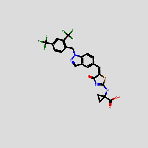 O=C1N=C(NC2(C(=O)O)CC2)SC1=Cc1ccc2c(cnn2Cc2ccc(C(F)(F)F)cc2C(F)(F)F)c1